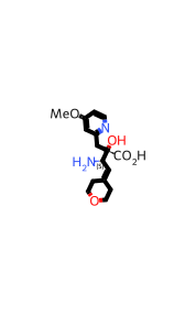 COc1ccnc(C[C@](O)(C(=O)O)[C@@H](N)C=C2CCOCC2)c1